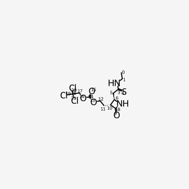 CCNC(=S)C[C@H]1NC(=O)[C@@H]1CCOC(=O)OCC(Cl)(Cl)Cl